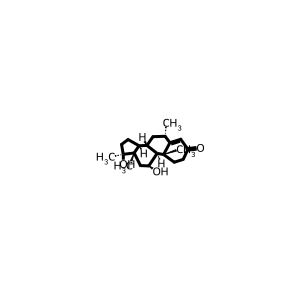 C[C@H]1C[C@@H]2[C@H]([C@@H](O)C[C@@]3(C)[C@H]2CC[C@]3(C)O)[C@@]2(C)CCC(=O)C=C12